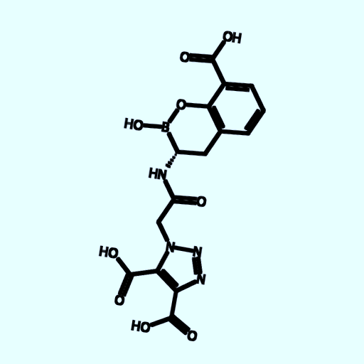 O=C(Cn1nnc(C(=O)O)c1C(=O)O)N[C@H]1Cc2cccc(C(=O)O)c2OB1O